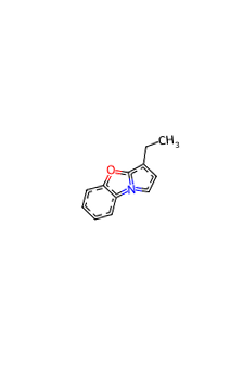 CCc1ccn2c1oc1ccccc12